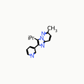 Cc1ccc2nc(-c3cccnc3)c(C(C)C)n2n1